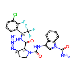 [N-]=[N+]=N[C@@H]1CCN(C(=O)Nc2cn(C(N)=O)c3ccccc23)[C@@H]1C(=O)N[C@@H](c1cccc(Cl)c1F)C(F)(F)F